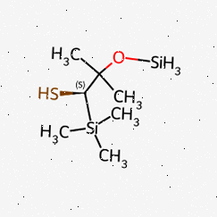 CC(C)(O[SiH3])[C@H](S)[Si](C)(C)C